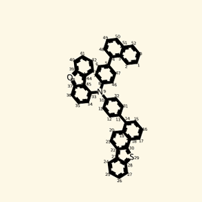 c1ccc2c(-c3ccc(N(c4ccc(-c5cccc6c5ccc5c7ccccc7sc65)cc4)c4cccc5oc6ccccc6c45)cc3)cccc2c1